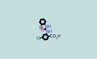 O=C(Nc1ccccc1Br)Nc1cc(Cl)ccc1C(=O)O